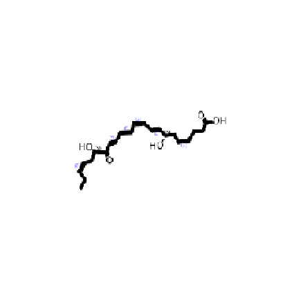 CC/C=C\C[C@H](O)C(=O)/C=C/C=C/C=C\C=C\[C@@H](O)C/C=C\CCC(=O)O